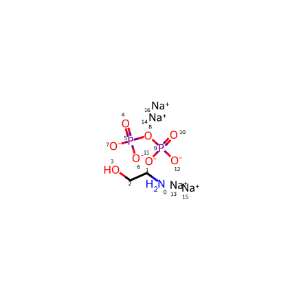 NCCO.O=P([O-])([O-])OP(=O)([O-])[O-].[Na+].[Na+].[Na+].[Na+]